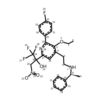 CCOc1c(CCN[C@@H](C)c2ccccc2)cc(C(O)(C[N+](=O)[O-])C(F)(F)F)nc1-c1ccc(F)cc1